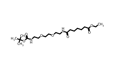 CCOC(=O)CCCCCC(=O)NCCOCCOCCNC(=O)OC(C)(C)C